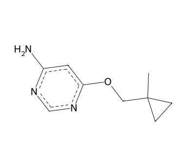 CC1(COc2cc(N)ncn2)CC1